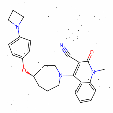 Cn1c(=O)c(C#N)c(N2CCC[C@@H](Oc3ccc(N4CCC4)cc3)CC2)c2ccccc21